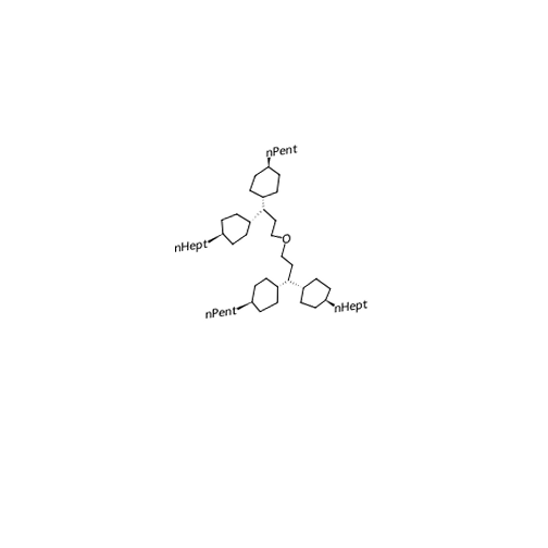 CCCCCCC[C@H]1CC[C@H](C(CCOCCC([C@H]2CC[C@H](CCCCC)CC2)[C@H]2CC[C@H](CCCCCCC)CC2)[C@H]2CC[C@H](CCCCC)CC2)CC1